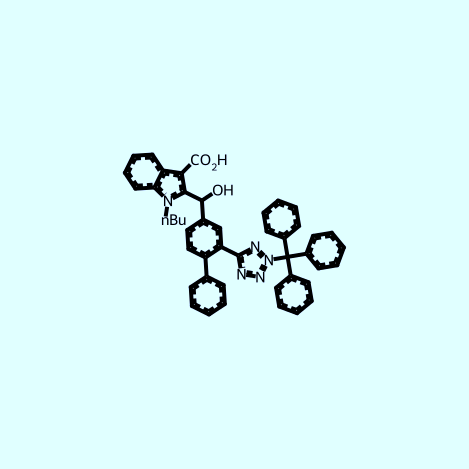 CCCCn1c(C(O)c2ccc(-c3ccccc3)c(-c3nnn(C(c4ccccc4)(c4ccccc4)c4ccccc4)n3)c2)c(C(=O)O)c2ccccc21